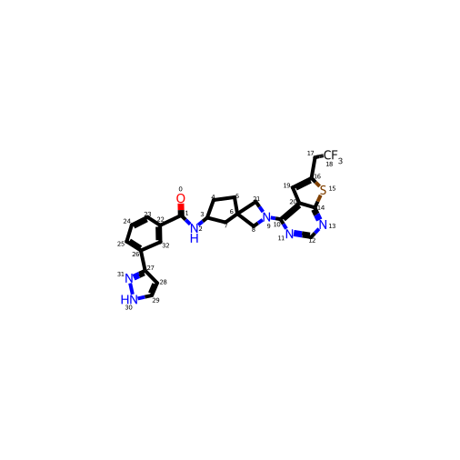 O=C(NC1CCC2(C1)CN(c1ncnc3sc(CC(F)(F)F)cc13)C2)c1cccc(-c2cc[nH]n2)c1